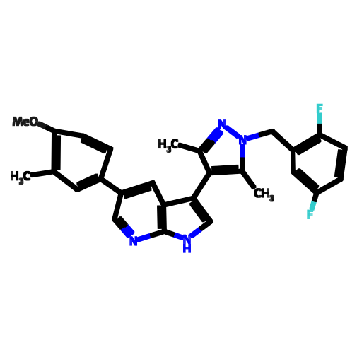 COc1ccc(-c2cnc3[nH]cc(-c4c(C)nn(Cc5cc(F)ccc5F)c4C)c3c2)cc1C